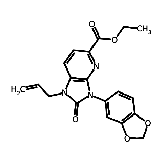 C=CCn1c(=O)n(-c2ccc3c(c2)OCO3)c2nc(C(=O)OCC)ccc21